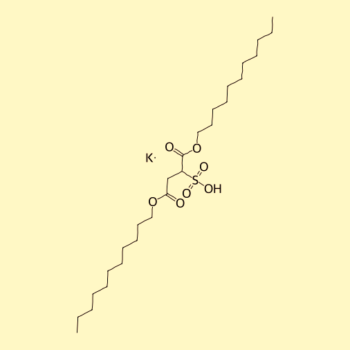 CCCCCCCCCCCOC(=O)CC(C(=O)OCCCCCCCCCCC)S(=O)(=O)O.[K]